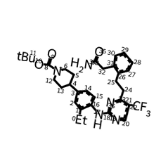 CCc1cc(C2CCN(C(=O)OC(C)(C)C)CC2)ccc1Nc1ncc(C(F)(F)F)c(CCc2ccccc2CC(N)=O)n1